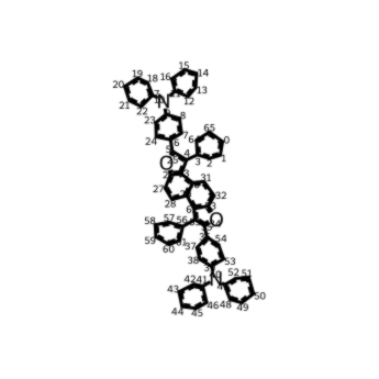 c1ccc(-c2c(-c3ccc(N(c4ccccc4)c4ccccc4)cc3)oc3ccc4c(ccc5oc(-c6ccc(N(c7ccccc7)c7ccccc7)cc6)c(-c6ccccc6)c54)c23)cc1